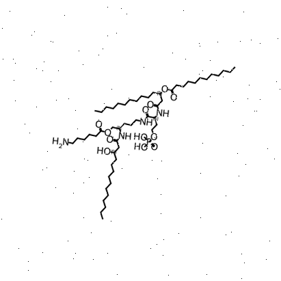 CCCCCCCCCCCC(=O)O[C@H](CCCCCCCCCCC)CC(=O)N[C@@H](CCOP(=O)(O)O)C(=O)NCCC[C@H](COC(=O)CCCCCN)NC(=O)C[C@H](O)CCCCCCCCCCC